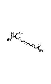 CC(C)NC(CS)COCCOCCOCC(=O)C(C)C